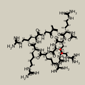 C=C(C)C(=O)CNC(=O)[C@H](CCCNC(=N)N)NC(=O)[C@H](CCCCNC(=N)N)NC(=O)[C@H](CCCNC(=N)N)NC(=O)[C@H](CCCNC(=N)N)NC(=O)[C@H](CCCNC(=N)N)NC(=O)[C@H](CCCNC(=N)N)NC(C)=O